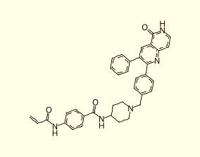 C=CC(=O)Nc1ccc(C(=O)NC2CCN(Cc3ccc(-c4nc5cc[nH]c(=O)c5cc4-c4ccccc4)cc3)CC2)cc1